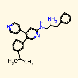 CC(C)c1cccc(-c2cnc(NC[C@H](N)Cc3ccccc3)cc2-c2ccncc2)c1